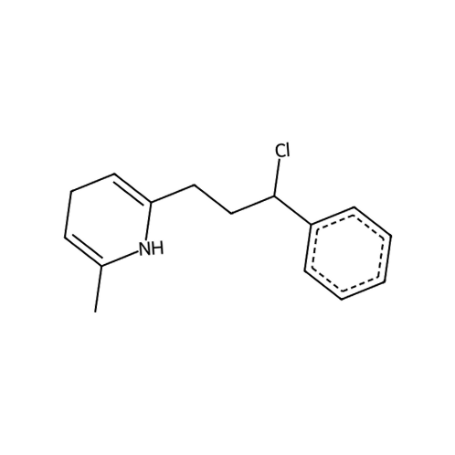 CC1=CCC=C(CCC(Cl)c2ccccc2)N1